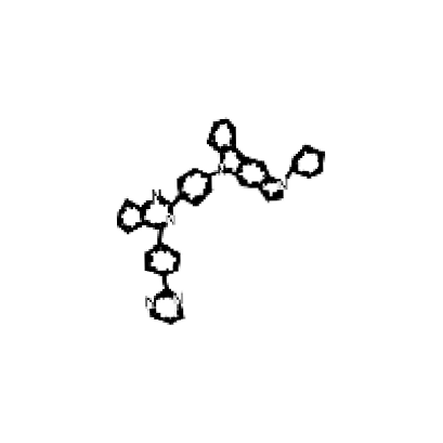 c1ccc(-n2ccc3cc4c(cc32)c2ccccc2n4-c2ccc(-c3nc(-c4ccc(-c5ncccn5)cc4)c4ccccc4n3)cc2)cc1